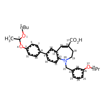 CCCCOC(C)Oc1ccc(-c2ccc3c(c2)C=C(C(=O)O)CCN3Cc2cccc(OCCC)c2)cc1